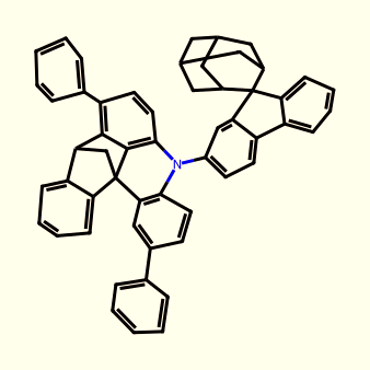 c1ccc(-c2ccc3c(c2)C24CC(c5ccccc52)c2c(-c5ccccc5)ccc(c24)N3c2ccc3c(c2)C2(c4ccccc4-3)C3CC4CC(C3)CC2C4)cc1